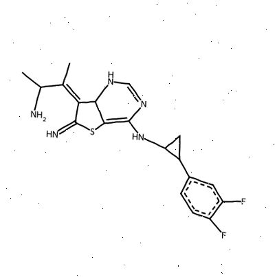 C/C(=C1/C(=N)SC2=C(NC3CC3c3ccc(F)c(F)c3)N=CNC21)C(C)N